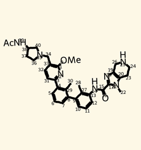 COc1nc(-c2cccc(-c3cccc(NC(=O)c4nc5c(n4C)CCNC5)c3C)c2C)ccc1CN1CCC(NC(C)=O)C1